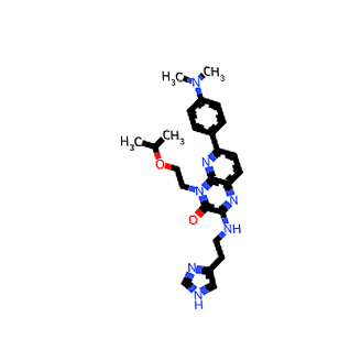 CC(C)OCCn1c(=O)c(NCCc2c[nH]cn2)nc2ccc(-c3ccc(N(C)C)cc3)nc21